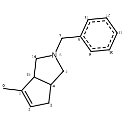 CC1=CCC2CN(Cc3ccccc3)CC12